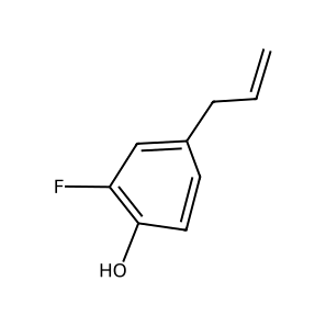 C=CCc1ccc(O)c(F)c1